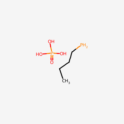 CCCCP.O=P(O)(O)O